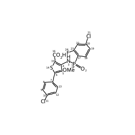 COP(=O)(Nc1cc(-c2ccc(Cl)cc2)sc1C(=O)O)c1ccc(Cl)cc1F